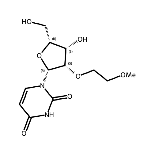 COCCO[C@H]1[C@@H](O)[C@@H](CO)O[C@H]1n1ccc(=O)[nH]c1=O